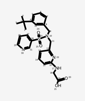 CC(C)(C)c1cccc(CN(Cc2cccc(NCC(=O)O)n2)S(=O)(=O)c2cccnc2)c1